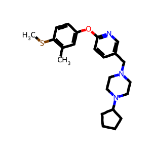 CSc1ccc(Oc2ccc(CN3CCN(C4CCCC4)CC3)cn2)cc1C